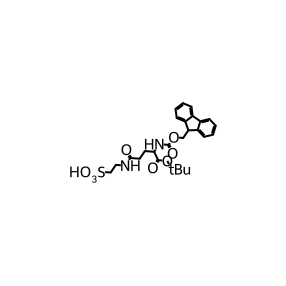 CC(C)(C)OC(=O)C(CCC(=O)NCCS(=O)(=O)O)NC(=O)OCC1c2ccccc2-c2ccccc21